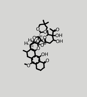 COc1c2c(c(O)c3c1CC(C)C1=C3O[C@]3(OC4CC(O)C(O)(C(C)=O)C(C)O4)[C@H]4O[C@](C5OCC(C)(C)CO5)(O[C@@H]14)[C@]31CO1)C(=O)CCC2